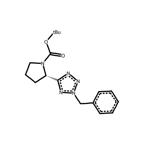 CC(C)(C)OC(=O)N1CCC[C@H]1c1nnn(Cc2ccccc2)n1